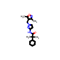 Cc1noc(C)c1Cn1ccc(NC(=O)C(C)(C)c2ccccc2)n1